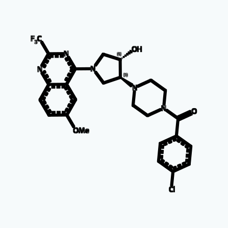 COc1ccc2nc(C(F)(F)F)nc(N3C[C@H](O)[C@@H](N4CCN(C(=O)c5ccc(Cl)cc5)CC4)C3)c2c1